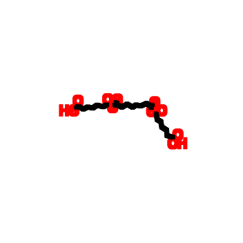 O=C(O)CCCCCC(=O)OC(=O)CCCCCCC(=O)OC(=O)CCCCCC(=O)O